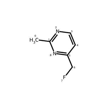 Cc1nccc(CF)n1